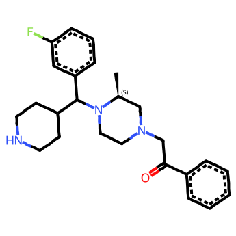 C[C@H]1CN(CC(=O)c2ccccc2)CCN1C(c1cccc(F)c1)C1CCNCC1